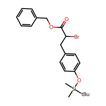 CC(C)(C)[Si](C)(C)Oc1ccc(CC(Br)C(=O)OCc2ccccc2)cc1